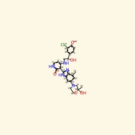 COc1ccc(C(O)CNc2cc[nH]c(=O)c2-c2nc3c(C)cc(N4CCOC(C)(O)C4)cc3[nH]2)cc1Cl